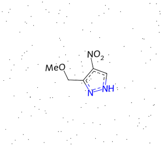 COCc1n[nH]cc1[N+](=O)[O-]